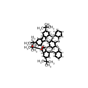 CC(C)(C)c1ccc2c(c1)c1cc(C(C)(C)C)cc3c1n2-c1c2c(c4c5c1-n1c6ccc(C(C)(C)C)cc6c6cc(C(C)(C)C)cc(c61)B5c1ccccc1S4)Sc1ccccc1B23